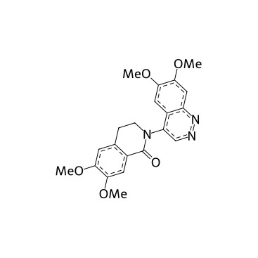 COc1cc2c(cc1OC)C(=O)N(c1cnnc3cc(OC)c(OC)cc13)CC2